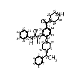 CC(c1ccccc1)N1CCN(c2ccc(C(=O)N3CCNCC3)cc2NC(=O)Nc2ccccc2)CC1